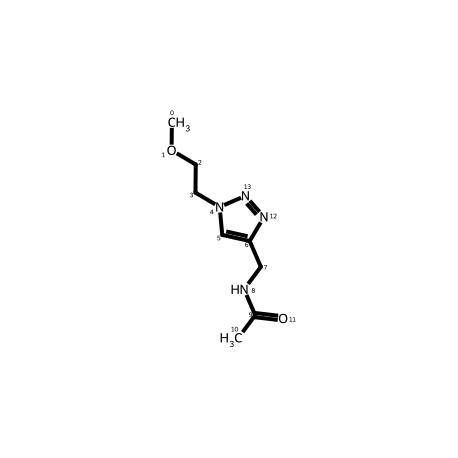 COCCn1cc(CNC(C)=O)nn1